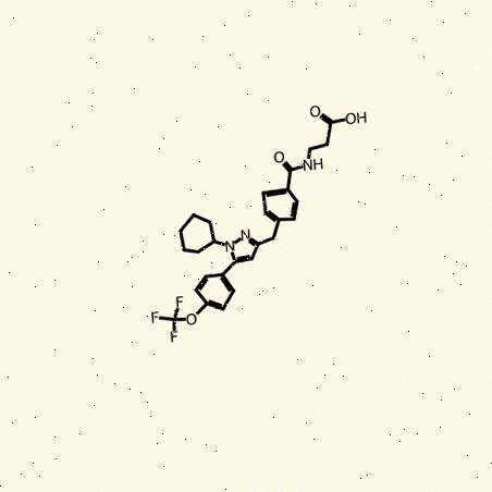 O=C(O)CCNC(=O)c1ccc(Cc2cc(-c3ccc(OC(F)(F)F)cc3)n(C3CCCCC3)n2)cc1